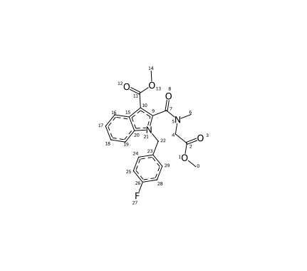 COC(=O)CN(C)C(=O)c1c(C(=O)OC)c2ccccc2n1Cc1ccc(F)cc1